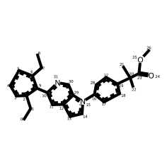 CCc1cccc(CC)c1-c1cc2ccn(-c3ccc(C(C)(C)C(=O)OC)cc3)c2cn1